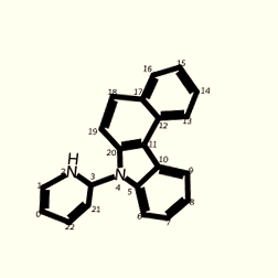 C1=CNC(n2c3ccccc3c3c4ccccc4ccc32)C=C1